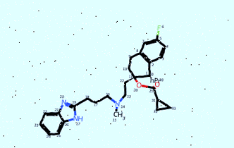 CCC[C@H]1c2ccc(F)cc2CC[C@@]1(CCN(C)CCCc1nc2ccccc2[nH]1)OC(=O)C1CC1